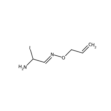 C=CCON=CC(N)I